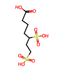 O=C(O)CCCC(CCS(=O)(=O)O)S(=O)(=O)O